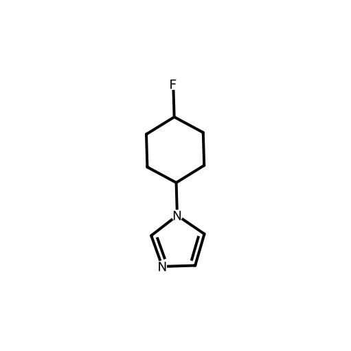 FC1CCC(n2ccnc2)CC1